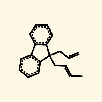 C=CCC1(CC=CC)c2ccccc2-c2ccccc21